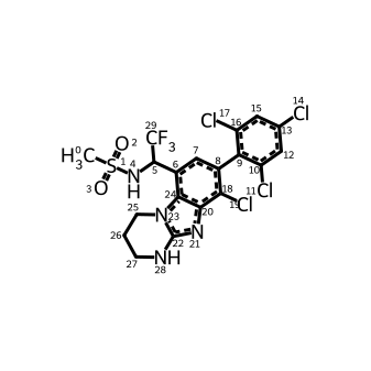 CS(=O)(=O)NC(c1cc(-c2c(Cl)cc(Cl)cc2Cl)c(Cl)c2nc3n(c12)CCCN3)C(F)(F)F